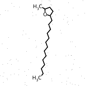 CCCCCCCCCCCCCCC1CCC(C)O1